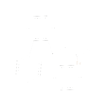 C=C(Br)CC1(c2ccccc2)c2ccccc2-c2ccccc21